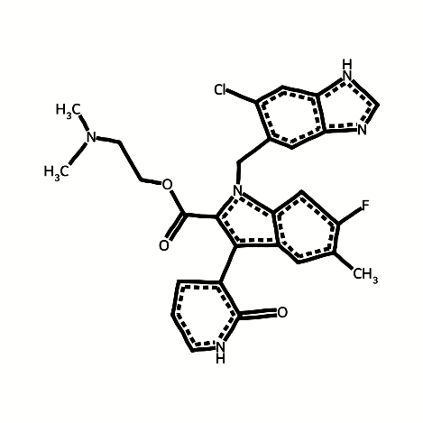 Cc1cc2c(-c3ccc[nH]c3=O)c(C(=O)OCCN(C)C)n(Cc3cc4nc[nH]c4cc3Cl)c2cc1F